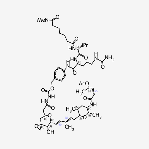 CNC(=O)CCCCCC(=O)N[C@H](C(=O)N[C@@H](CCCNC(N)=O)C(=O)Nc1ccc(COC(=O)NNC(=O)C[C@@H]2C[C@@]3(CO3)[C@H](O)[C@@H](/C=C/C(C)=C/C[C@@H]3O[C@H](C)[C@H](NC(=O)/C=C\[C@H](C)OC(C)=O)C[C@@H]3C)O2)cc1)C(C)C